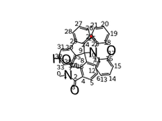 CN1C(=O)c2cccc(C3(N4c5ccccc5Oc5ccccc54)c4ccccc4-c4ccccc43)c2C1O